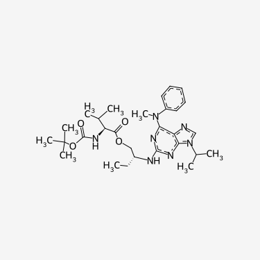 CC[C@H](COC(=O)[C@@H](NC(=O)OC(C)(C)C)C(C)C)Nc1nc(N(C)c2ccccc2)c2ncn(C(C)C)c2n1